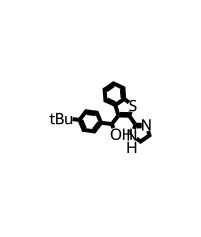 CC(C)(C)c1ccc(C(O)c2c(C3=NCCN3)sc3ccccc23)cc1